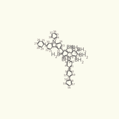 Bc1c(B)c(B)c2c(c1B)c1c(B)c(-c3ccc4c(c3)c3ccc(-c5ccccc5)cc3n4-c3ccccc3)c(B)c(B)c1n2-c1ccc(-c2ccc(-c3ccccc3)cc2)cc1